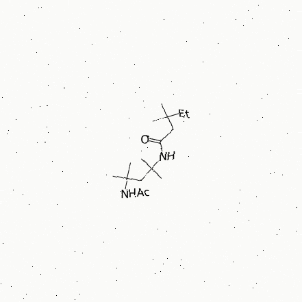 CCC(C)(C)CC(=O)NC(C)(C)CC(C)(C)NC(C)=O